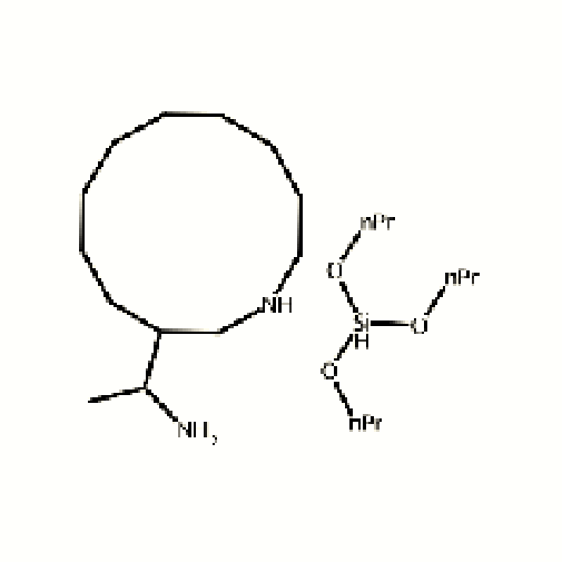 CC(N)C1CCCCCCCCCNC1.CCCO[SiH](OCCC)OCCC